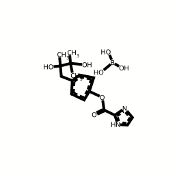 CC(C)(O)C(C)(O)Cc1ccc(OC(=O)c2ncc[nH]2)cc1.OB(O)O